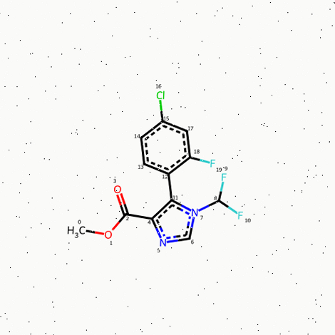 COC(=O)c1ncn(C(F)F)c1-c1ccc(Cl)cc1F